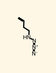 C=CCCNN=[N+]=[N-]